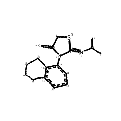 CC(C)/N=C1\SCC(=O)N1c1cccc2c1CCCC2